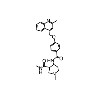 CNC(=O)C1CNCCC1NC(=O)c1ccc(OCc2cc(C)nc3ccccc23)cc1